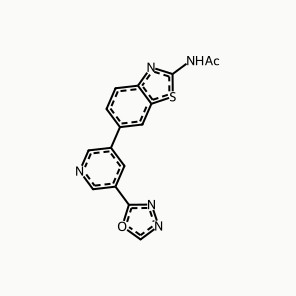 CC(=O)Nc1nc2ccc(-c3cncc(-c4nnco4)c3)cc2s1